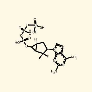 C[C@@]1(F)C2C(OP(=O)(O)OP(=O)(O)OP(=O)(O)O)[C@H]2C[C@H]1n1cnc2c(N)nc(N)nc21